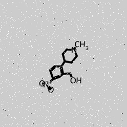 CN1CCC(c2ccc([N+](=O)[O-])cc2CO)CC1